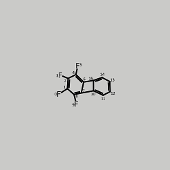 Fc1c(F)c(F)c2c(c1F)-c1ccccc1-2